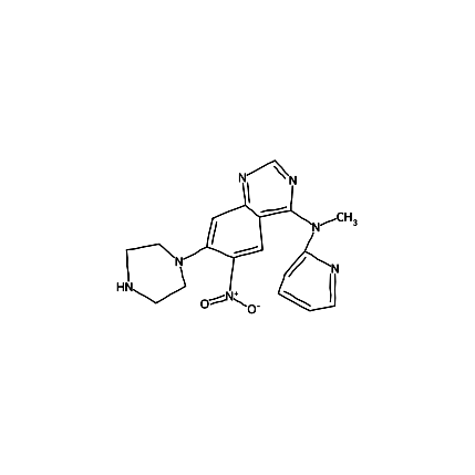 CN(c1ccccn1)c1ncnc2cc(N3CCNCC3)c([N+](=O)[O-])cc12